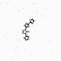 c1coc(-c2nc(C3NC(c4conn4)CO3)co2)n1